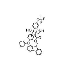 O=C(NC1(C(O)(c2ccc(Oc3ccccc3)cc2)c2ccc(OC(F)(F)F)cc2)CNC1)OCC1c2ccccc2-c2ccccc21